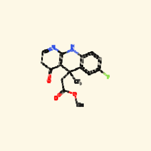 CC(C)(C)OC(=O)CC1(C(F)(F)F)C2=C(N=CCC2=O)Nc2ccc(F)cc21